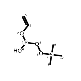 C=COP(O)OO[Si](C)(C)C